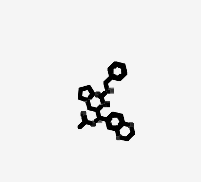 CC(=O)O[C@H](c1ccc2c(c1)OCCO2)C(CN1CCCC1)NC(=O)NCc1ccccc1